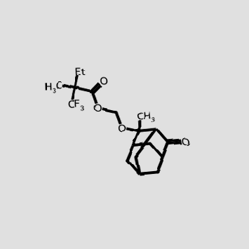 CCC(C)(C(=O)OCOC1(C)C2CC3CC(C2)C(=O)C1C3)C(F)(F)F